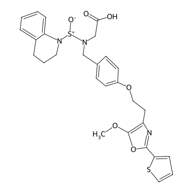 COc1oc(-c2cccs2)nc1CCOc1ccc(CN(CC(=O)O)[S+]([O-])N2CCCc3ccccc32)cc1